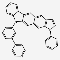 c1ccc(-n2ccc3cc4cc5c6ccccc6n(-c6cccc(-c7ccncc7)c6)c5cc4cc32)cc1